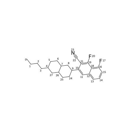 CCCCC1CCC2CC(c3cc4cccc(F)c4c(F)c3C#N)CCC2C1